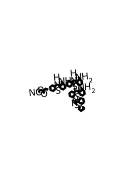 C=CC(=O)OC#N.Nc1cccc2c1Nc1ccccc1S2.Nc1cccc2c1Nc1ccccc1S2.Nc1cccc2c1Nc1ccccc1S2.c1ccc2snnc2c1.c1ccsc1